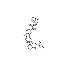 CCOC(=O)CCc1c(C=C2C(=O)Nc3ccc(NC(=O)NC45CC6CC(CC(C6)C4)C5)cc32)[nH]c2c1C(=O)CCC2